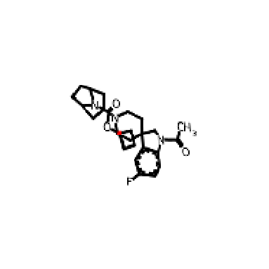 CC(=O)N1CC2(CCN(C3CC4CCC(C3)N4C(=O)OC3CCC3)CC2)c2cc(F)ccc21